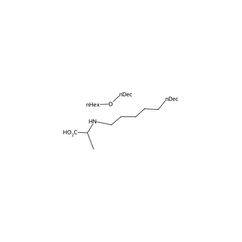 CCCCCCCCCCCCCCCNC(C)C(=O)O.CCCCCCCCCCOCCCCCC